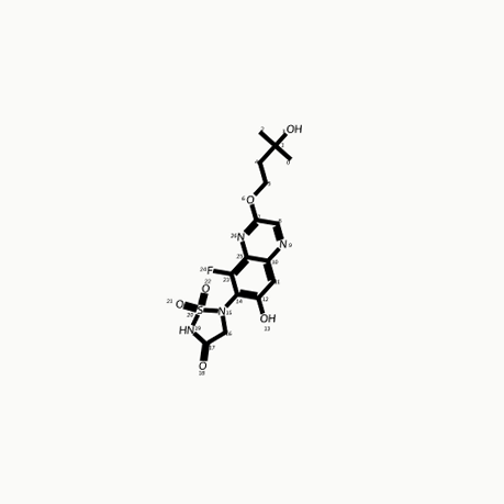 CC(C)(O)CCOc1cnc2cc(O)c(N3CC(=O)NS3(=O)=O)c(F)c2n1